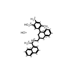 Cc1cc(C)c(C2CC(CN[C@H](C)c3cccc4ccccc34)Cc3ccccc32)cc1C(=O)O.Cl